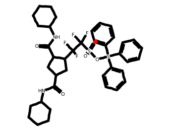 O=C(NC1CCCCC1)C1CC(C(=O)NC2CCCCC2)C(C(F)(F)C(F)(F)S(=O)(=O)OS(c2ccccc2)(c2ccccc2)c2ccccc2)C1